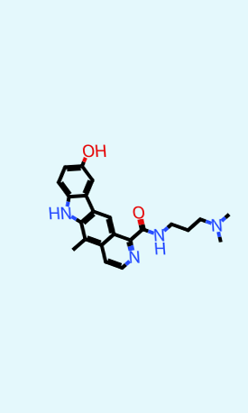 Cc1c2ccnc(C(=O)NCCCN(C)C)c2cc2c1[nH]c1ccc(O)cc12